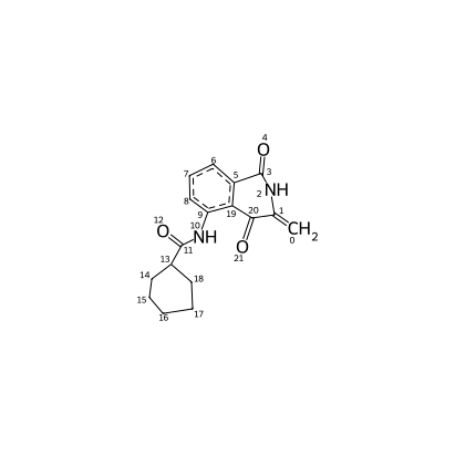 C=C1NC(=O)c2cccc(NC(=O)C3CCCCC3)c2C1=O